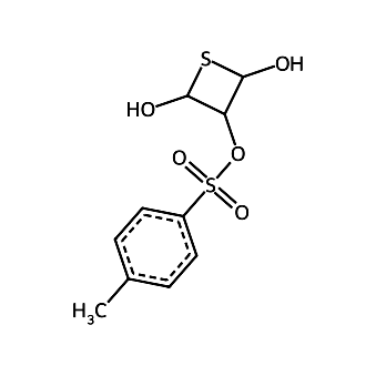 Cc1ccc(S(=O)(=O)OC2C(O)SC2O)cc1